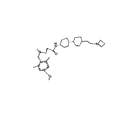 COc1cc(C)c(SN(C)CCC(=O)N[C@H]2CC[C@@H](N3CCC(CCN4CCC4)CC3)CC2)c(C)c1